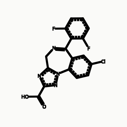 O=C(O)c1nc2n(n1)-c1ccc(Cl)cc1C(c1c(F)cccc1F)=NC2